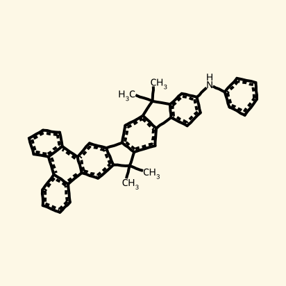 CC1(C)c2cc(Nc3ccccc3)ccc2-c2cc3c(cc21)-c1cc2c4ccccc4c4ccccc4c2cc1C3(C)C